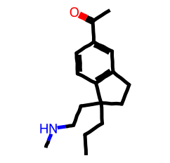 CCCC1(CCNC)CCc2cc(C(C)=O)ccc21